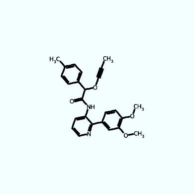 CC#COC(C(=O)Nc1cccnc1-c1ccc(OC)c(OC)c1)c1ccc(C)cc1